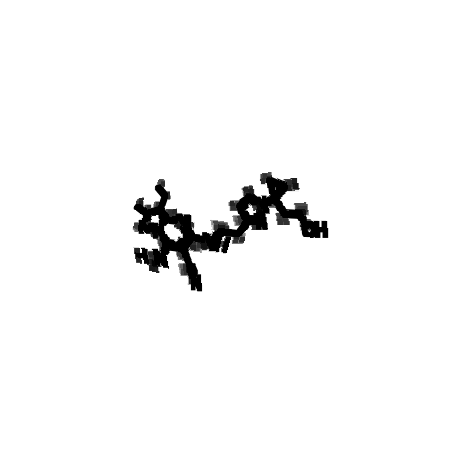 CCc1c(C)nn2c(N)c(C#N)c(NCCc3ccn(C4(CCO)CC4)n3)nc12